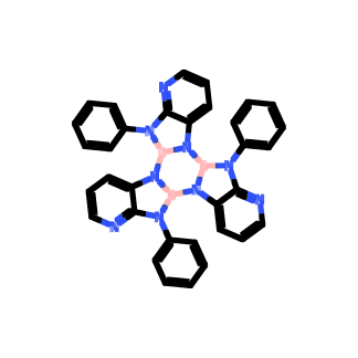 c1ccc(N2B3N(B4N(B5N3c3cccnc3N5c3ccccc3)c3cccnc3N4c3ccccc3)c3cccnc32)cc1